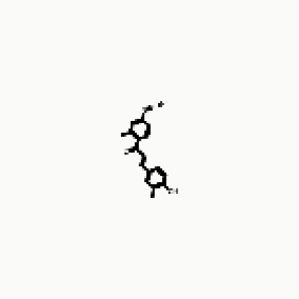 Cc1cc(C=CC(=O)c2ccc(N=[N+]=[N-])cc2C)ccc1O